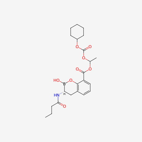 CCCC(=O)N[C@H]1Cc2cccc(C(=O)OC(C)OC(=O)OC3CCCCC3)c2OB1O